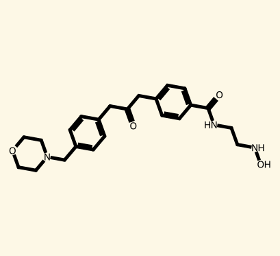 O=C(Cc1ccc(CN2CCOCC2)cc1)Cc1ccc(C(=O)NCCNO)cc1